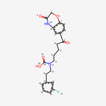 O=C1COc2ccc(C(=O)CCCCN(CCc3cccc(F)c3)C(=O)O)cc2N1